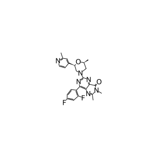 Cc1cc([C@@H]2CN(c3nc(-c4ccc(F)cc4F)c4nc(C)n(C)c(=O)c4n3)C[C@H](C)O2)ccn1